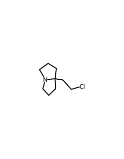 ClCCC12CCCN1CCC2